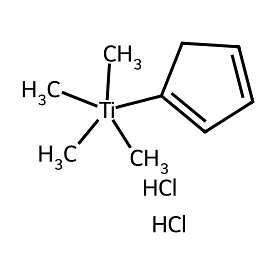 Cl.Cl.[CH3][Ti]([CH3])([CH3])([CH3])[C]1=CC=CC1